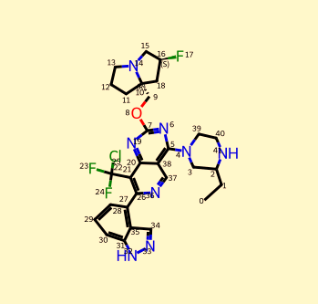 CCC1CN(c2nc(OC[C@]34CCCN3C[C@@H](F)C4)nc3c(C(F)(F)Cl)c(-c4cccc5[nH]ncc45)ncc23)CCN1